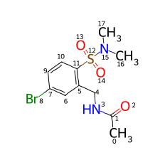 CC(=O)NCc1cc(Br)ccc1S(=O)(=O)N(C)C